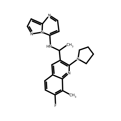 Cc1c(F)ccc2cc(C(C)Nc3ccnc4ccnn34)c(N3CCCC3)nc12